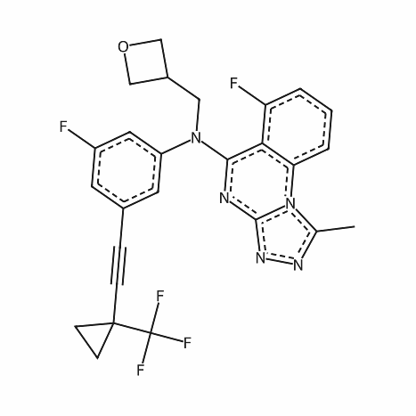 Cc1nnc2nc(N(CC3COC3)c3cc(F)cc(C#CC4(C(F)(F)F)CC4)c3)c3c(F)cccc3n12